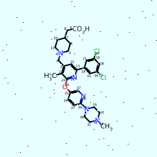 Cc1c(CN2CCC(CC(=O)O)CC2)cc(-c2cc(Cl)cc(Cl)c2)nc1Oc1ccc(N2CCN(C)CC2)nc1